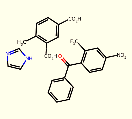 Cc1ccc(C(=O)O)cc1C(=O)O.O=C(c1ccccc1)c1ccc([N+](=O)[O-])cc1C(F)(F)F.c1c[nH]cn1